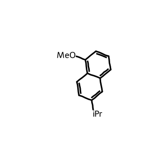 COc1cccc2cc(C(C)C)ccc12